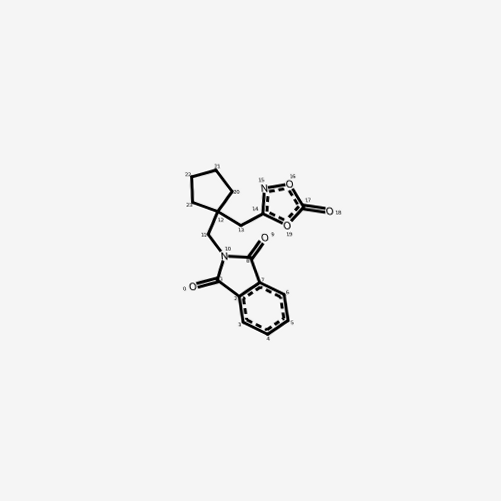 O=C1c2ccccc2C(=O)N1CC1(Cc2noc(=O)o2)CCCC1